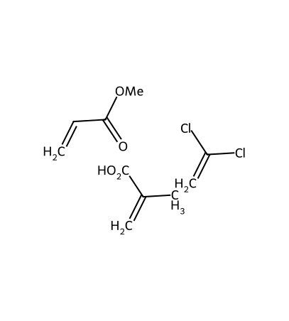 C=C(C)C(=O)O.C=C(Cl)Cl.C=CC(=O)OC